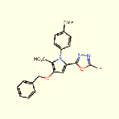 CCc1nnc(-c2cc(OCc3ccccc3)c(C(=O)O)n2-c2ccc(OC)cc2)o1